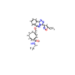 Cc1cc(-c2nnc3c4ccccc4c(OC/C4=C/C=C(C(=O)NCC(F)(F)F)\C=C/CCC4)nn23)no1